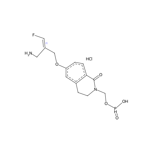 Cl.NC/C(=C\F)COc1ccc2c(c1)CCN(CO[PH](=O)O)C2=O